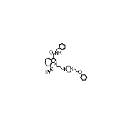 CC(C)OC1=c2c(c(C(=O)NCc3ccccc3)cn2CCCN2CCN(CCOc3ccccc3)CC2)=CC=CC1